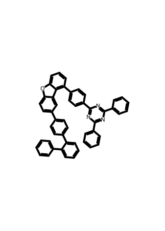 c1ccc(-c2nc(-c3ccccc3)nc(-c3ccc(-c4cccc5oc6ccc(-c7ccc(-c8ccccc8-c8ccccc8)cc7)cc6c45)cc3)n2)cc1